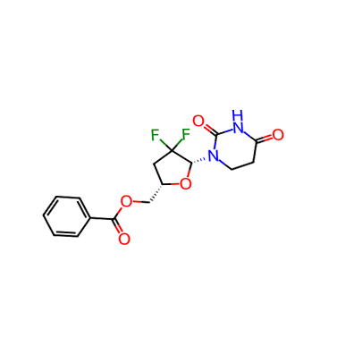 O=C1CCN([C@@H]2O[C@H](COC(=O)c3ccccc3)CC2(F)F)C(=O)N1